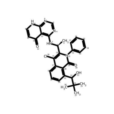 C[C@H](Nc1ncnc2[nH]ccc(=O)c12)c1c(Cl)c2cccc(C(O)C(C)(C)C)c2c(=O)n1-c1ccccc1